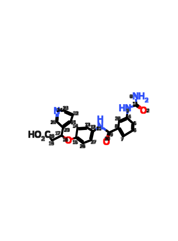 NC(=O)Nc1cccc(C(=O)Nc2ccc(OC(CC(=O)O)c3cccnc3)cc2)c1